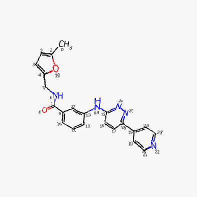 Cc1ccc(CNC(=O)c2cccc(Nc3ccc(-c4ccncc4)nn3)c2)o1